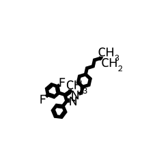 C=C(C)CCCC1CCC(Cn2nc(-c3ccccc3)c(-c3cc(F)ccc3F)c2C)CC1